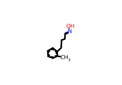 Cc1ccccc1CCCC=NO